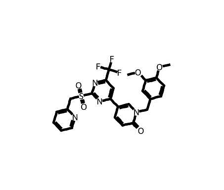 COc1ccc(Cn2cc(-c3cc(C(F)(F)F)nc(S(=O)(=O)Cc4ccccn4)n3)ccc2=O)cc1OC